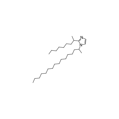 CCCCCCCCCCCCCCC(C)n1ccnc1C(C)CCCCCCC